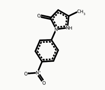 Cc1cc(=O)n(-c2ccc([N+](=O)[O-])cc2)[nH]1